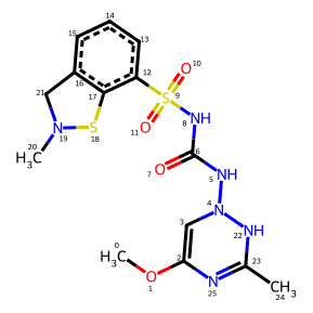 COC1=CN(NC(=O)NS(=O)(=O)c2cccc3c2SN(C)C3)NC(C)=N1